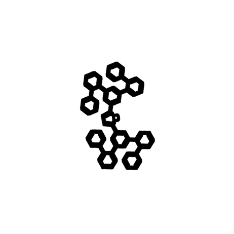 c1ccc(-c2ccccc2-c2cc(-c3ccc(-c4cc(-c5ccccc5-c5ccccc5)cc(-c5ccccc5-c5ccccc5)c4)o3)cc(-c3ccccc3-c3ccccc3)c2)cc1